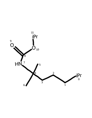 CC(C)CCCC(C)(C)NC(=O)OC(C)C